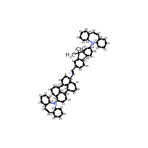 CC1(C)c2cc(/C=C/c3ccc4c5cccc6c(N7c8ccccc8C=Cc8ccccc87)ccc(c7cccc3c47)c65)ccc2-c2ccc(N3c4ccccc4C=Cc4ccccc43)cc21